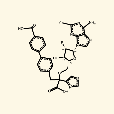 Nc1nc(Cl)nc2c1ncn2[C@@H]1O[C@H](COC(Cc2ccc(-c3ccc(C(=O)O)cc3)cc2)(C(=O)O)c2cscn2)[C@@H](O)[C@@H]1F